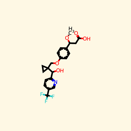 COC(CC(=O)O)c1ccc(OCC2(C(O)c3ccc(C(F)(F)F)cn3)CC2)cc1